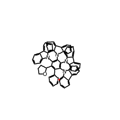 c1ccc(-c2c(C3CCCO3)c(-n3c4ccccc4c4ccccc43)c(-n3c4ccccc4c4ccccc43)c(-n3c4ccccc4c4ccccc43)c2-n2c3ccccc3c3ccccc32)nc1